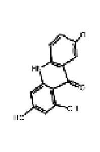 O=c1c2cc(Cl)ccc2[nH]c2cc(O)cc(O)c12